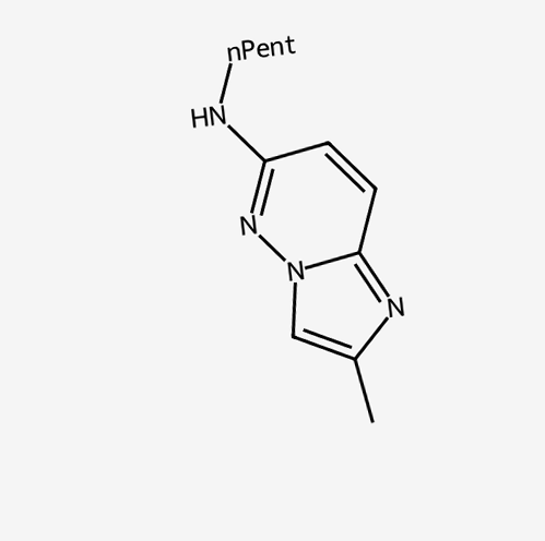 CCCCCNc1ccc2nc(C)cn2n1